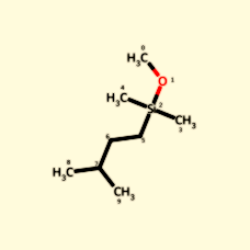 CO[Si](C)(C)CCC(C)C